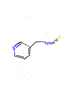 S=C=NCc1cccnc1